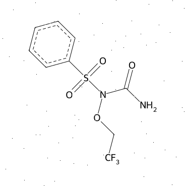 NC(=O)N(OCC(F)(F)F)S(=O)(=O)c1ccccc1